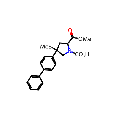 COC(=O)C1CC(SC)(c2ccc(-c3ccccc3)cc2)CN1C(=O)O